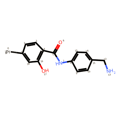 CC(C)c1ccc(C(=O)Nc2ccc(CN)cc2)c(O)c1